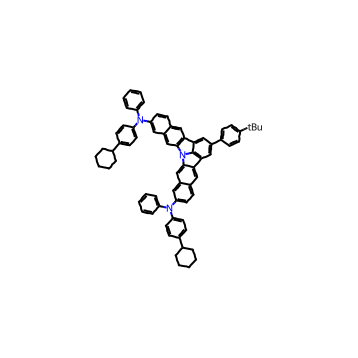 CC(C)(C)c1ccc(-c2cc3c4cc5ccc(N(c6ccccc6)c6ccc(C7CCCCC7)cc6)cc5cc4n4c5cc6cc(N(c7ccccc7)c7ccc(C8CCCCC8)cc7)ccc6cc5c(c2)c34)cc1